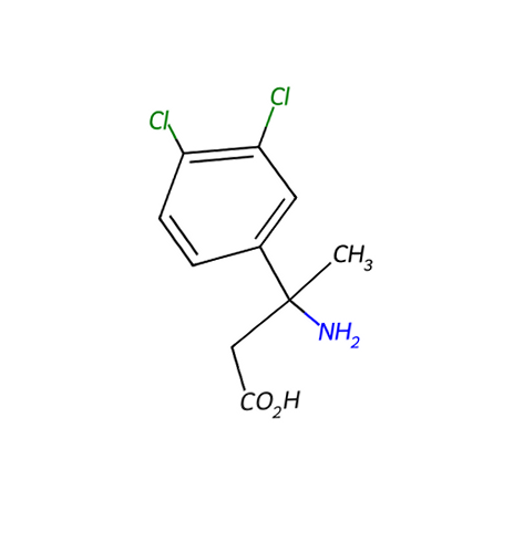 CC(N)(CC(=O)O)c1ccc(Cl)c(Cl)c1